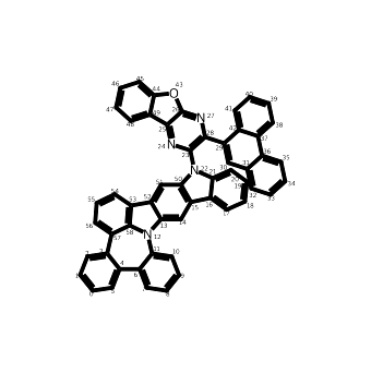 c1ccc2c(c1)-c1ccccc1-n1c3cc4c5ccccc5n(-c5nc6c(nc5-c5cc7ccccc7c7ccccc57)oc5ccccc56)c4cc3c3cccc-2c31